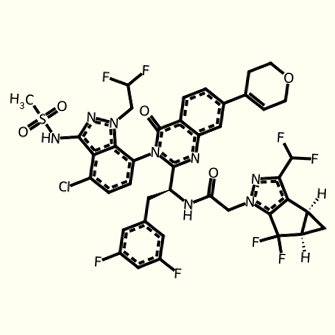 CS(=O)(=O)Nc1nn(CC(F)F)c2c(-n3c([C@H](Cc4cc(F)cc(F)c4)NC(=O)Cn4nc(C(F)F)c5c4C(F)(F)[C@@H]4C[C@H]54)nc4cc(C5=CCOCC5)ccc4c3=O)ccc(Cl)c12